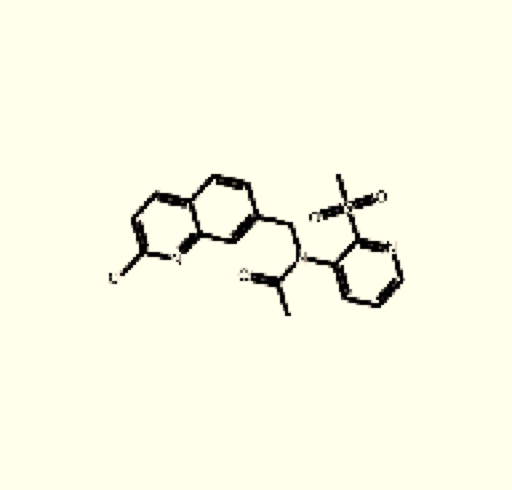 CC(=O)N(Cc1ccc2ccc(Cl)nc2c1)c1cccnc1S(C)(=O)=O